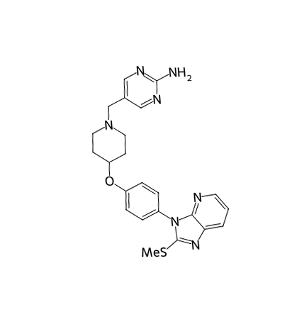 CSc1nc2cccnc2n1-c1ccc(OC2CCN(Cc3cnc(N)nc3)CC2)cc1